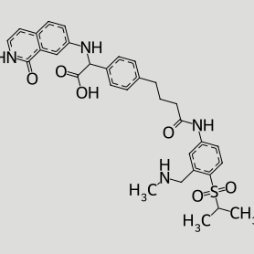 CNCc1cc(NC(=O)CCCc2ccc(C(Nc3ccc4cc[nH]c(=O)c4c3)C(=O)O)cc2)ccc1S(=O)(=O)C(C)C